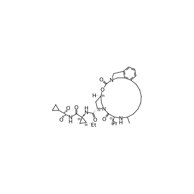 CC[C@@H]1C[C@]1(NC(=O)[C@@H]1C[C@@H]2CN1C(=O)[C@H](C(C)C)NC(C)CCCCCCc1cccc3c1CN(C3)C(=O)O2)C(=O)NS(=O)(=O)C1CC1